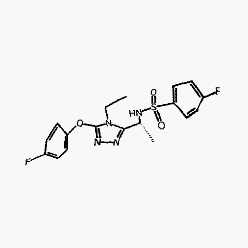 CCn1c(Oc2ccc(F)cc2)nnc1[C@@H](C)NS(=O)(=O)c1ccc(F)cc1